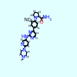 CN1CCN(c2ccc(Nc3nccc(-c4ccc(N5CCCC5C(N)=O)c(C#N)c4)n3)cn2)CC1